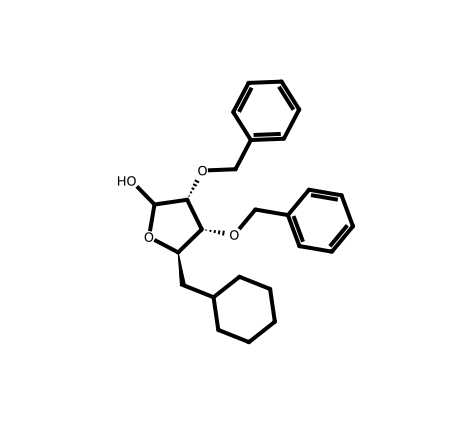 OC1O[C@H](CC2CCCCC2)[C@@H](OCc2ccccc2)[C@H]1OCc1ccccc1